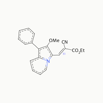 CCOC(=O)/C(C#N)=C/c1c(OC)c(-c2ccccc2)c2ccccn12